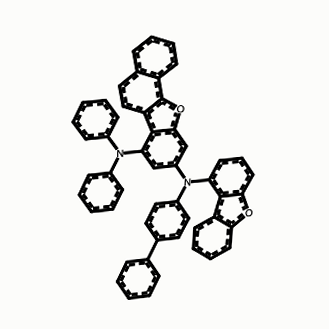 c1ccc(-c2ccc(N(c3cc(N(c4ccccc4)c4ccccc4)c4c(c3)oc3c5ccccc5ccc34)c3cccc4oc5ccccc5c34)cc2)cc1